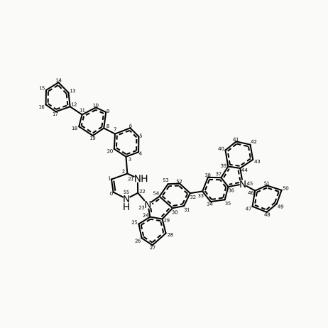 C1=CC(c2cccc(-c3ccc(-c4ccccc4)cc3)c2)NC(n2c3ccccc3c3cc(-c4ccc5c(c4)c4ccccc4n5-c4ccccc4)ccc32)N1